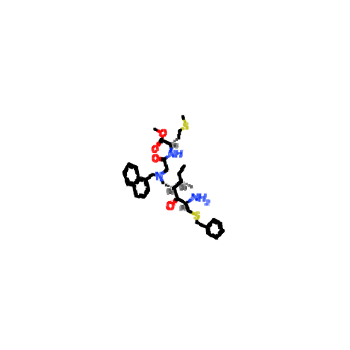 CC[C@H](C)[C@@H](CN(CC(=O)N[C@@H](CCSC)C(=O)OC)Cc1cccc2ccccc12)C(=O)[C@@H](N)CSCc1ccccc1